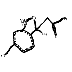 CC(C)C(=O)CC1(O)ONc2cc(Cl)ccc21